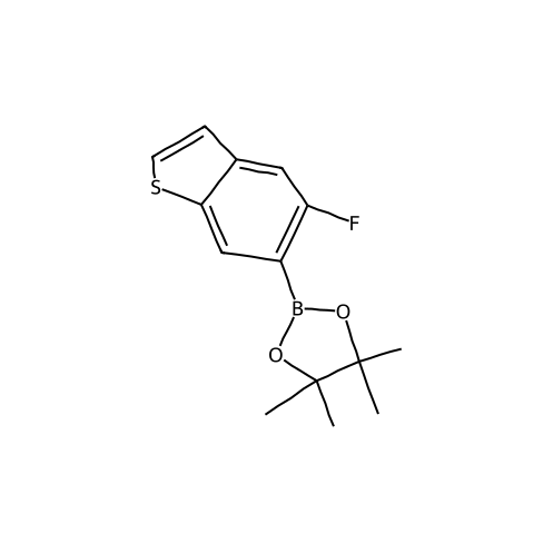 CC1(C)OB(c2cc3sccc3cc2F)OC1(C)C